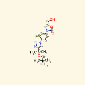 CC(C)(C)[SiH2]OC(C)(C)c1cn(-c2ccc(N3C[C@H](CO)OC3=O)cc2F)cn1